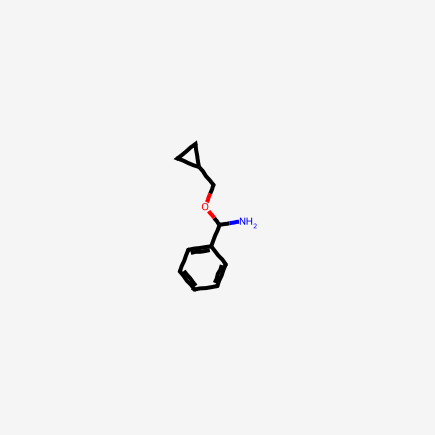 NC(OCC1CC1)c1cc[c]cc1